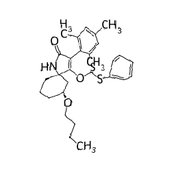 CCCCO[C@H]1CCC[C@@]2(C1)NC(=O)C(c1c(C)cc(C)cc1C)=C2OC(=S)Sc1ccccc1